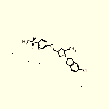 CC1CC(COc2ccc(S(C)(=O)=O)cc2)CN1C1Cc2ccc(Cl)cc2C1